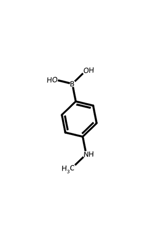 CNc1ccc(B(O)O)cc1